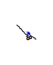 CCCCCCCCCCCCCC(c1nccn1CCCCCCCC)C(C)(Cc1ccccc1)c1ccccc1